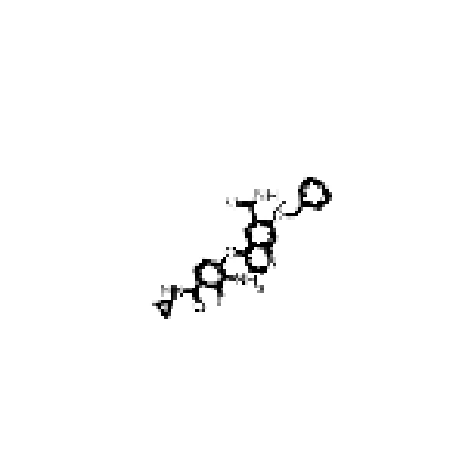 NC(=O)c1cc2c(Oc3ccc(C(=O)NC4CC4)c(F)c3N)ccnc2cc1OCc1ccccc1